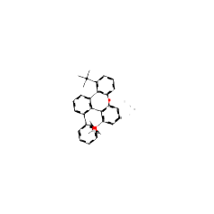 Cc1cccc(C(C)(C)C)c1-c1cccc(-c2ccccc2)c1-c1c(C)cccc1C(C)(C)C.OPO